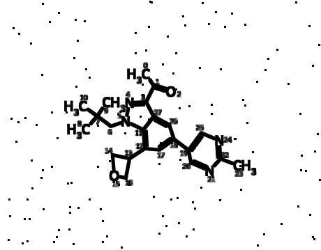 CC(=O)c1nn(CC(C)(C)C)c2c(C3COC3)cc(-c3cnc(C)nc3)cc12